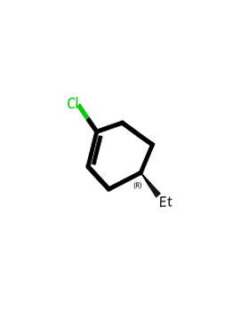 CC[C@H]1CC=C(Cl)CC1